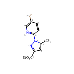 CCOC(=O)c1cc(C(F)(F)F)n(-c2ccc(Br)cn2)n1